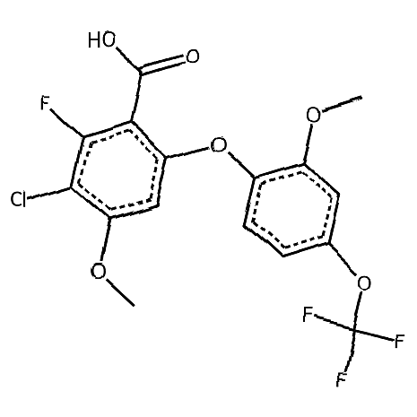 COc1cc(OC(F)(F)F)ccc1Oc1cc(OC)c(Cl)c(F)c1C(=O)O